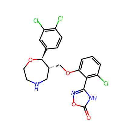 O=c1[nH]c(-c2c(Cl)cccc2OC[C@@H]2CNCCO[C@H]2c2ccc(Cl)c(Cl)c2)no1